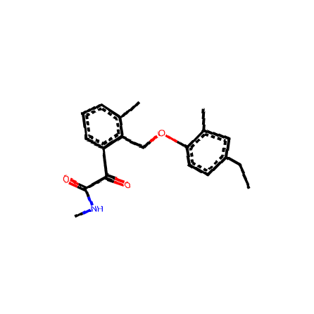 CCc1ccc(OCc2c(C)cccc2C(=O)C(=O)NC)c(C)c1